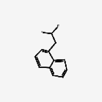 FC(F)Cc1cccc2ccccc12